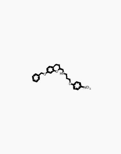 O=[N+]([O-])c1ccc(OCCCNCC2CCc3ccc(OCc4ccccc4)cc3O2)cc1